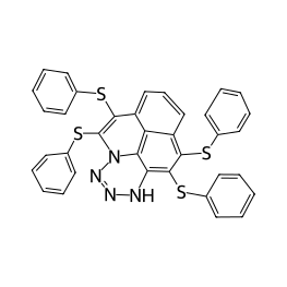 c1ccc(Sc2c(Sc3ccccc3)c3cccc4c(Sc5ccccc5)c(Sc5ccccc5)n5nn[nH]c2c-5c34)cc1